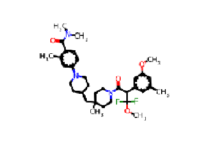 COc1cc(C)cc(C(C(=O)N2CCC(C)(CC3CCN(c4ccc(C(=O)N(C)C)c(C)c4)CC3)CC2)C(F)(F)OC)c1